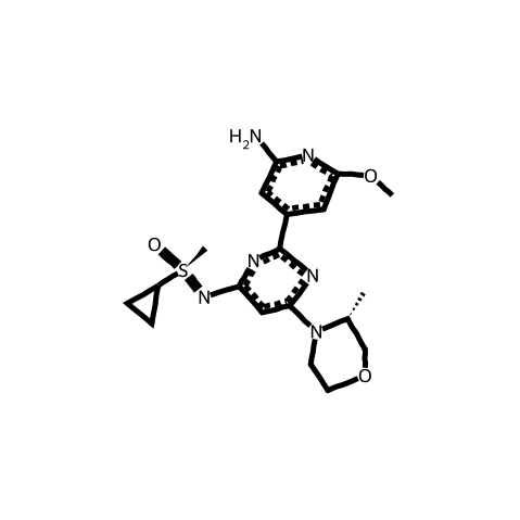 COc1cc(-c2nc(N=[S@@](C)(=O)C3CC3)cc(N3CCOC[C@H]3C)n2)cc(N)n1